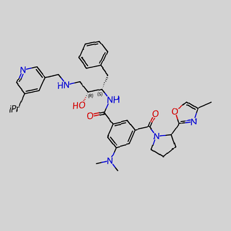 Cc1coc(C2CCCN2C(=O)c2cc(C(=O)N[C@@H](Cc3ccccc3)[C@H](O)CNCc3cncc(C(C)C)c3)cc(N(C)C)c2)n1